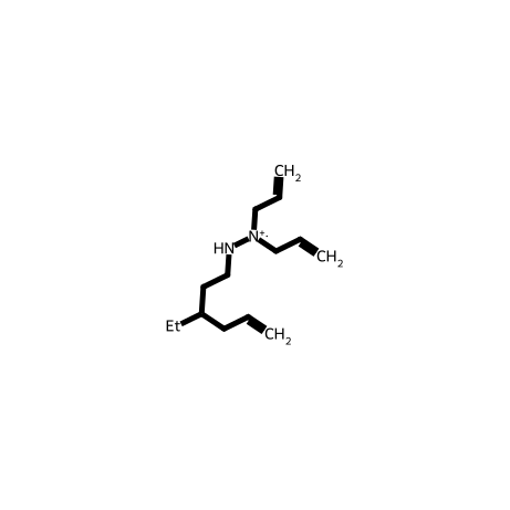 C=CCC(CC)CCN[N+](CC=C)CC=C